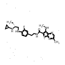 CC[C@H](CNc1ccc(CCNC(=O)c2sc3nc(C)cnc3c2NC)cc1F)NC1CC1